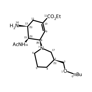 CCCCOC[C@H]1CCCN([C@@H]2C=C(C(=O)OCC)C[C@H](N)[C@@H]2NC(C)=O)C1